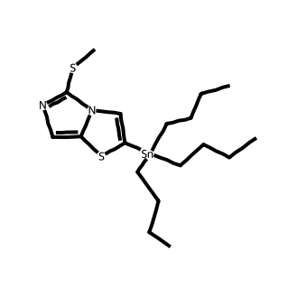 CCC[CH2][Sn]([CH2]CCC)([CH2]CCC)[c]1cn2c(SC)ncc2s1